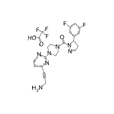 NCC#Cc1ccnc(N2CCN(C(=O)N3N=CCC3c3cc(F)cc(F)c3)CC2)n1.O=C(O)C(F)(F)F